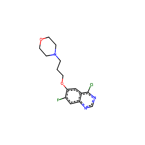 Fc1cc2ncnc(Cl)c2cc1OCCCN1CCOCC1